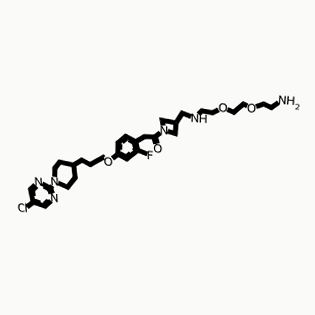 NCCOCCOCCNCC1CN(C(=O)Cc2ccc(OCCCC3CCN(c4ncc(Cl)cn4)CC3)cc2F)C1